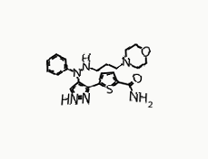 NC(=O)c1ccc(-c2n[nH]cc2N(NCCCN2CCOCC2)c2ccccc2)s1